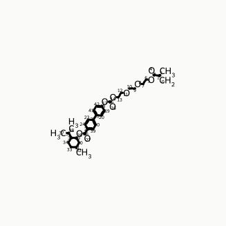 C=C(C)C(=O)OCCOCCOCCOC(=O)Oc1ccc(-c2ccc(C(=O)OC3CC(C)CCC3C(C)C)cc2)cc1